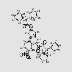 CN(C(=O)C(c1ccccc1)c1ccccc1)C(CN1CC[C@H](OC(=O)C(c2ccccc2)c2ccccc2)C1)c1cccc([N+](=O)[O-])c1